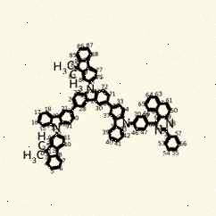 CC1(C)c2ccccc2-c2ccc(-n3c4ccccc4c4cc(-c5ccc6c(c5)c5cc(-c7ccc8c(c7)c7ccccc7n8-c7ccc(-c8nc(-c9ccccc9)nc9ccc%10ccccc%10c89)cc7)ccc5n6-c5ccc6c(c5)C(C)(C)c5ccccc5-6)ccc43)cc21